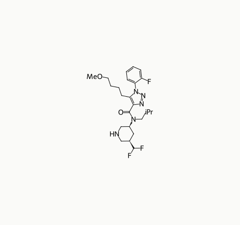 COCCCCc1c(C(=O)N(CC(C)C)[C@@H]2CNC[C@H](C(F)F)C2)nnn1-c1ccccc1F